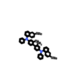 CSC1C=Cc2c(cccc2N(c2ccccc2)c2ccc(-c3ccc(N(c4ccccc4)c4cccc5c4C=CC(SC)C5)cc3C)c(C)c2)C1